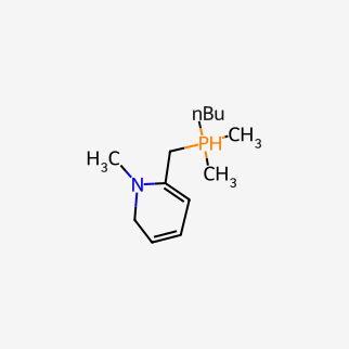 CCCC[PH](C)(C)CC1=CC=CCN1C